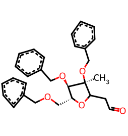 C[C@]1(OCc2ccccc2)C(CC=O)O[C@H](COCc2ccccc2)[C@H]1OCc1ccccc1